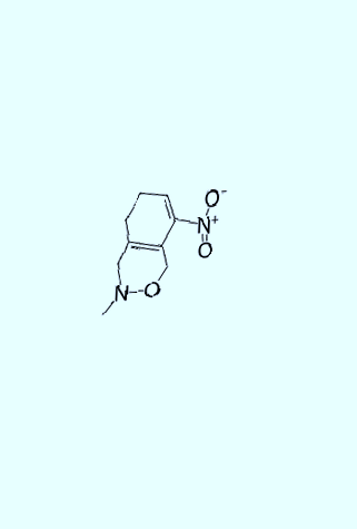 CN1CC2=C(CO1)C([N+](=O)[O-])=CCC2